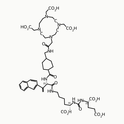 C=C(c1ccc2ccccc2c1)[C@H](NC(=O)C1CCC(CNC(=O)CN2CCN(CC(=O)O)CCN(CC(=O)O)CCN(CC(=O)O)CC2)CC1)C(=O)NCCCC[C@H](NC(=O)N[C@@H](CCC(=O)O)C(=O)O)C(=O)O